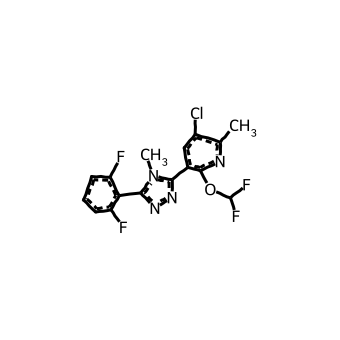 Cc1nc(OC(F)F)c(-c2nnc(-c3c(F)cccc3F)n2C)cc1Cl